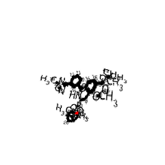 COc1c(CC(NC(=O)c2cccc(-c3noc(C)n3)c2)B2OC3CC4CC(C4(C)C)C3(C)O2)cccc1C(=O)OC(C)(C)C